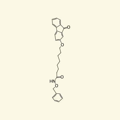 O=C(CCCCCCCOc1ccc2c(c1)C(=O)c1ccccc1-2)NOCc1ccccc1